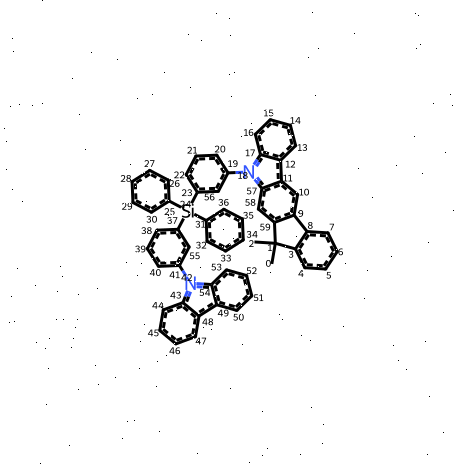 CC1(C)c2ccccc2-c2cc3c4ccccc4n(-c4cccc([Si](c5ccccc5)(c5ccccc5)c5cccc(-n6c7ccccc7c7ccccc76)c5)c4)c3cc21